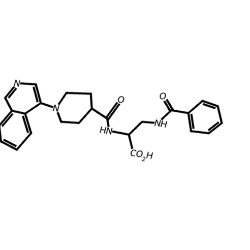 O=C(NCC(NC(=O)C1CCN(c2cncc3ccccc23)CC1)C(=O)O)c1ccccc1